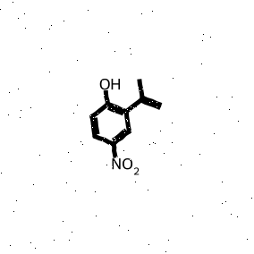 C=C(C)c1cc([N+](=O)[O-])ccc1O